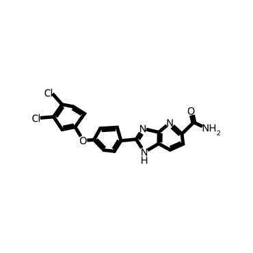 NC(=O)c1ccc2[nH]c(-c3ccc(Oc4ccc(Cl)c(Cl)c4)cc3)nc2n1